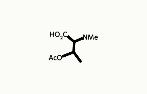 CNC(C(=O)O)C(C)OC(C)=O